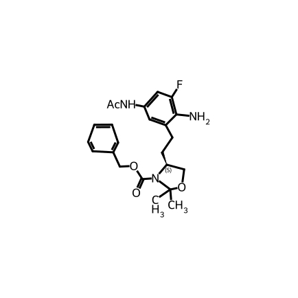 CC(=O)Nc1cc(F)c(N)c(CC[C@H]2COC(C)(C)N2C(=O)OCc2ccccc2)c1